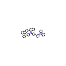 c1cc(-c2ccc(N(c3ccc4c(c3)C3(c5ccccc5-c5ccccc53)c3ccccc3-4)c3cccc4ccccc34)cc2)cc(-n2c3ccccc3c3ccccc32)c1